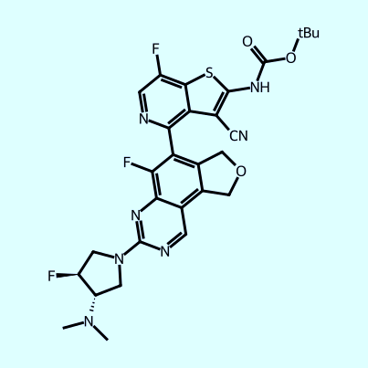 CN(C)[C@H]1CN(c2ncc3c4c(c(-c5ncc(F)c6sc(NC(=O)OC(C)(C)C)c(C#N)c56)c(F)c3n2)COC4)C[C@@H]1F